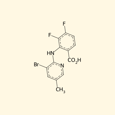 Cc1cnc(Nc2c(C(=O)O)ccc(F)c2F)c(Br)c1